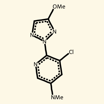 CNc1cnc(-n2ncc(OC)n2)c(Cl)c1